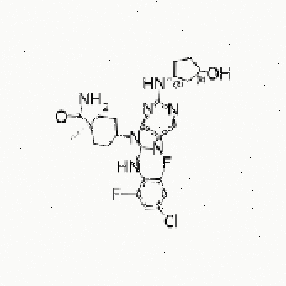 C[C@]1(C(N)=O)CC[C@@H](n2c(Nc3c(F)cc(Cl)cc3F)nc3cnc(N[C@@H]4CC[C@@H](O)C4)nc32)CC1